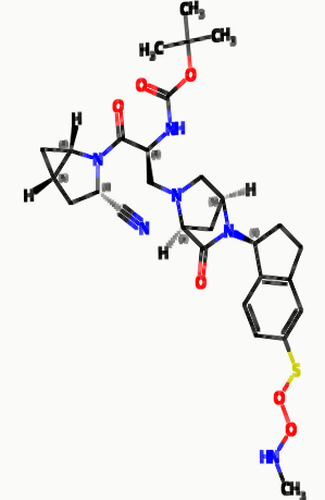 CNOOSc1ccc2c(c1)CC[C@@H]2N1C(=O)[C@@H]2C[C@H]1CN2C[C@H](NC(=O)OC(C)(C)C)C(=O)N1[C@H](C#N)C[C@@H]2C[C@@H]21